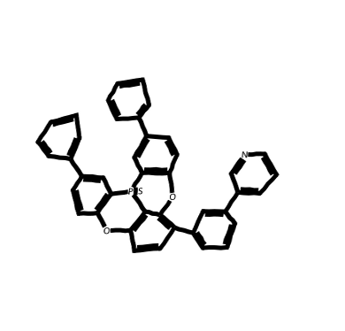 S=P12c3cc(-c4ccccc4)ccc3Oc3ccc(-c4cccc(-c5cccnc5)c4)c(c31)Oc1ccc(-c3ccccc3)cc12